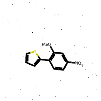 COc1cc([N+](=O)[O-])ccc1-c1cccs1